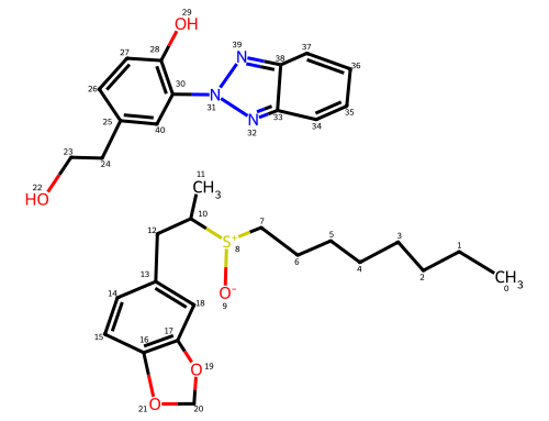 CCCCCCCC[S+]([O-])C(C)Cc1ccc2c(c1)OCO2.OCCc1ccc(O)c(-n2nc3ccccc3n2)c1